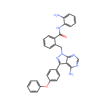 Nc1ccccc1NC(=O)c1ccccc1Cn1nc(-c2ccc(Oc3ccccc3)cc2)c2c(N)ncnc21